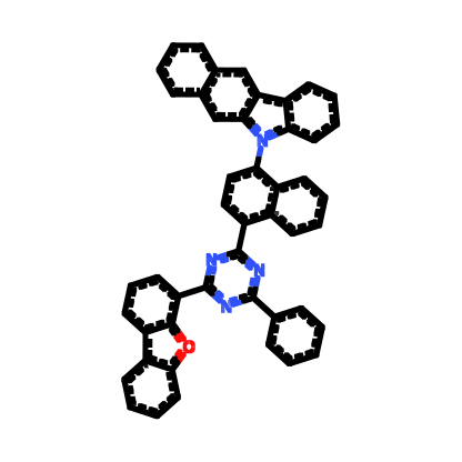 c1ccc(-c2nc(-c3ccc(-n4c5ccccc5c5cc6ccccc6cc54)c4ccccc34)nc(-c3cccc4c3oc3ccccc34)n2)cc1